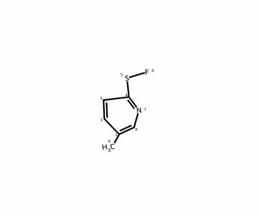 Cc1ccc(SF)nc1